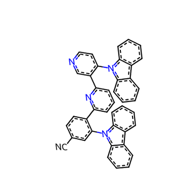 N#Cc1ccc(-c2cccc(-c3cnccc3-n3c4ccccc4c4ccccc43)n2)c(-n2c3ccccc3c3ccccc32)c1